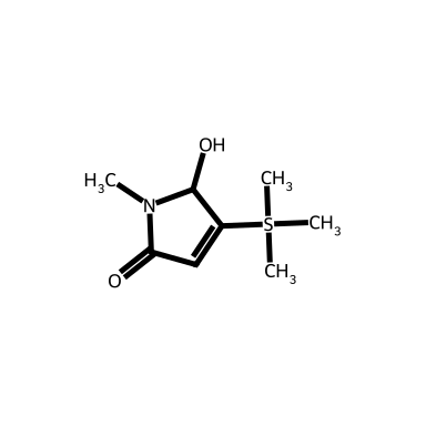 CN1C(=O)C=C(S(C)(C)C)C1O